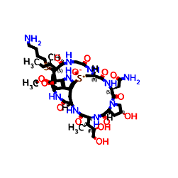 CC[C@H](C)[C@@H]1CC(=O)CNC(=O)[C@@H]2Cc3c([nH]c4c(CSCCCCN)c(OC)ccc34)[S+]([O-])C[C@H](NC(=O)CNC1=O)C(=O)N[C@@H](CC(N)=O)C(=O)N1C[C@H](O)C[C@H]1C(=O)N[C@@H]([C@@H](C)[C@@H](O)CO)C(=O)N2